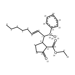 CCCCC/C=C/C(C1CCC(=O)C1C(=O)OCC)[S+]([O-])c1ccccc1